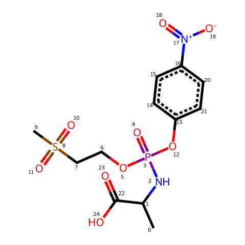 CC(NP(=O)(OCCS(C)(=O)=O)Oc1ccc([N+](=O)[O-])cc1)C(=O)O